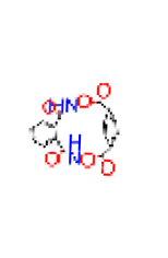 O=c1o[nH]c(=O)c2ccccc2c(=O)[nH]oc(=O)c2ccc1cc2